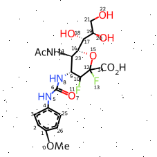 COc1ccc(NC(=O)N[C@H]2C(F)C(F)(C(=O)O)O[C@@H]([C@H](O)[C@H](O)CO)[C@@H]2NC(C)=O)cc1